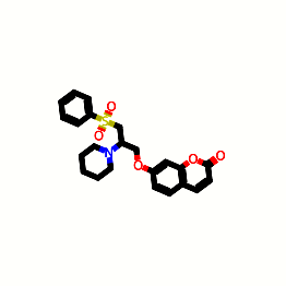 O=c1ccc2ccc(OCC(CS(=O)(=O)c3ccccc3)N3CCCCC3)cc2o1